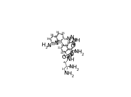 NC[C@H](N)CNS(=O)(=O)c1ccc(-c2cccc3ccc(N)nc23)c(-c2nn[nH]n2)c1S(N)(=O)=O